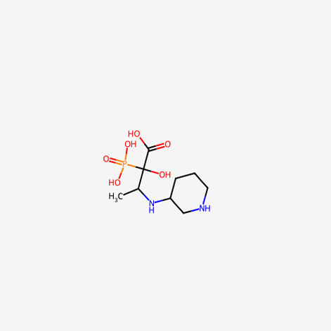 CC(NC1CCCNC1)C(O)(C(=O)O)P(=O)(O)O